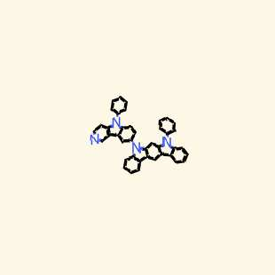 c1ccc(-n2c3ccncc3c3cc(-n4c5ccccc5c5cc6c7ccccc7n(-c7ccccc7)c6cc54)ccc32)cc1